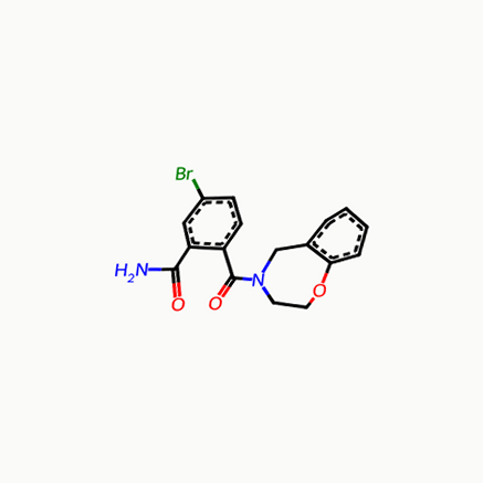 NC(=O)c1cc(Br)ccc1C(=O)N1CCOc2ccccc2C1